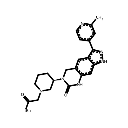 Cc1cc(-c2n[nH]c3cc4c(cc23)CN([C@@H]2CCCN(CC(=O)C(C)(C)C)C2)C(=O)N4)ccn1